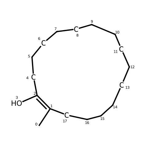 CC1=C(O)CCCCCCCCCCCCCC1